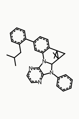 CC(C)Cc1ccccc1-c1ccc2c(c1)N1c3nccnc3N(c3ccccc3)C1C1(C)CC21C